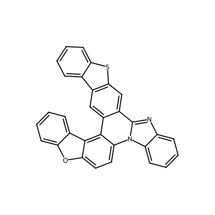 c1ccc2c(c1)nc1c3cc4sc5ccccc5c4cc3c3c4c(ccc3n21)oc1ccccc14